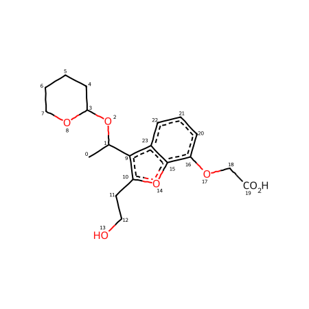 CC(OC1CCCCO1)c1c(CCO)oc2c(OCC(=O)O)cccc12